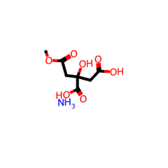 COC(=O)CC(O)(CC(=O)O)C(=O)O.N